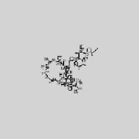 CCOc1cc2ccnc(O[C@@H]3C[C@H]4C(=O)N[C@]5(C(=O)NS(=O)(=O)C6(CF)CC6)CC5/C=C\CC[C@H](C)C[C@@H](C)CC(=O)N4C3)c2cc1F